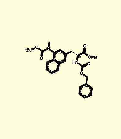 COC(=O)[C@@H](Cc1cc(N(C)C(=O)OC(C)(C)C)c2ccccc2c1)NC(=O)OCc1ccccc1